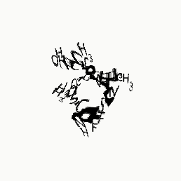 Cn1nc2nc1-c1cc(ccn1)Sc1c(F)c(F)c3[nH]ccc3c1CCSCC(C)(C)CCC[C@]2(C)c1cccc(CC(C)(C)C=O)c1